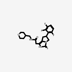 O=C(Cc1[nH]c(=S)n2c1CC(c1c(F)ccc(F)c1F)C2)NCC1CCOCC1